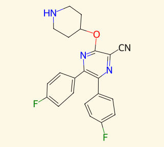 N#Cc1nc(-c2ccc(F)cc2)c(-c2ccc(F)cc2)nc1OC1CCNCC1